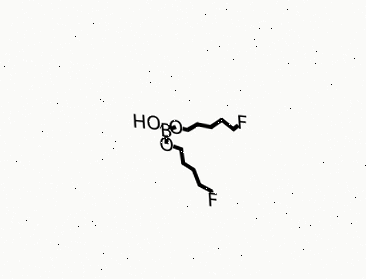 OB(OCCCCCF)OCCCCCF